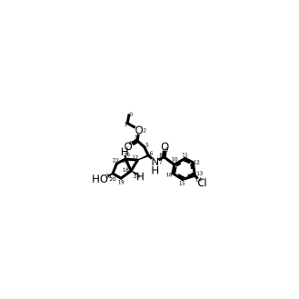 CCOC(=O)CC(NC(=O)c1ccc(Cl)cc1)[C@H]1[C@@H]2C[C@@H](O)C[C@@H]21